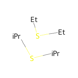 CC(C)SC(C)C.CCSCC